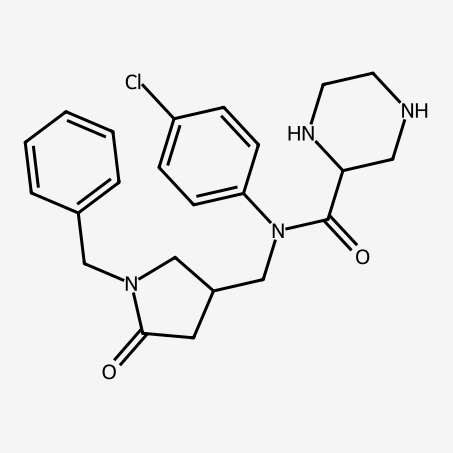 O=C1CC(CN(C(=O)C2CNCCN2)c2ccc(Cl)cc2)CN1Cc1ccccc1